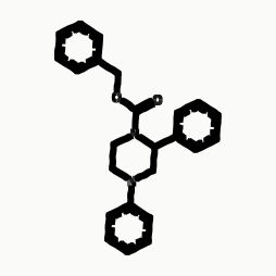 O=C(OCc1ccccc1)N1CCN(c2ccccc2)CC1c1ccccc1